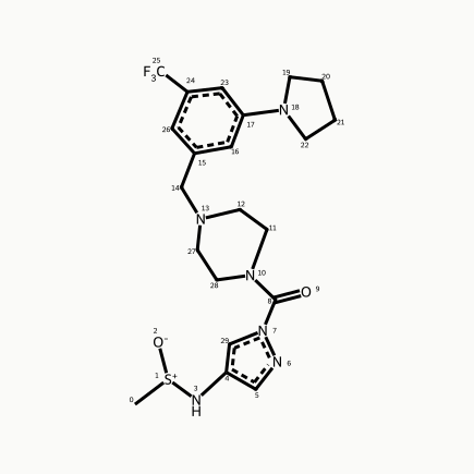 C[S+]([O-])Nc1cnn(C(=O)N2CCN(Cc3cc(N4CCCC4)cc(C(F)(F)F)c3)CC2)c1